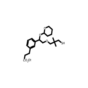 CCOC(=O)CCc1cccc(C(COCC(C)(C)CS)OC2CCCCO2)c1